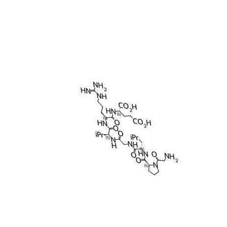 CC(C)C[C@H](NC(=O)[C@@H]1CCCN1C(=O)CN)C(=O)NCC(=O)N[C@H](C(=O)N[C@@H](CCCNC(=N)N)C(=O)N[C@@H](CCC(=O)O)C(=O)O)C(C)C